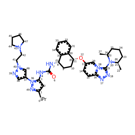 CC(C)c1cc(NC(=O)N[C@H]2CC[C@@H](Oc3ccc4nnc(N5[C@H](C)CCC[C@@H]5C)n4c3)c3ccccc32)n(-c2cnn(CCN3CCCC3)c2)n1